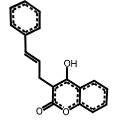 O=c1oc2ccccc2c(O)c1CC=Cc1ccccc1